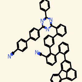 N#Cc1ccc(-c2ccc(-c3nc(-c4ccccc4)nc(-c4ccccc4-c4cccc(-c5c(C#N)cccc5-c5ccccc5-c5cc6c7c(cccc7c5)-c5ccccc5-6)c4)n3)cc2)cc1